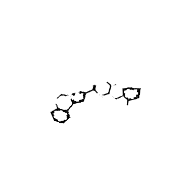 CCOC(=O)[C@H](O)[C@@H](Cc1ccccc1Cl)NC(=O)c1cc2n(n1)COc1ccccc1-2